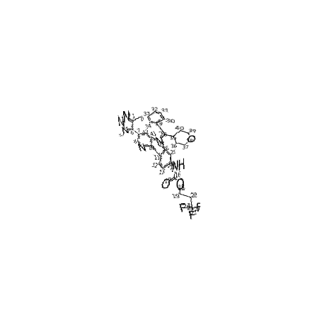 Cc1nnn(C)c1-c1cnc2c3ccc(NC(=O)OCCC(F)(F)F)cc3n(C(c3ccccc3)C3CCOCC3)c2c1